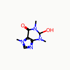 CN1C(=O)c2c(ncn2C)N(C)C1O